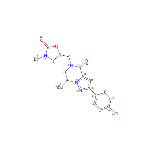 CCCCC1CN(CC2CN(CC)C(=O)O2)C(=O)c2cc(-c3ccc(Cl)cc3)nn21